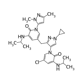 Cc1cc(-n2cc(Cc3nn(C4CC4)cc3-n3cc(Cl)cc(NC(C)C)c3=O)cc(NC(C)C)c2=O)n(C)n1